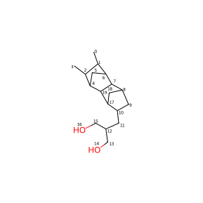 CC1C(C)C2CC1C1C3CC(CC(CO)CO)C(C3)C21